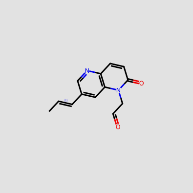 C/C=C/c1cnc2ccc(=O)n(CC=O)c2c1